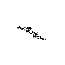 CCCOc1ccc(NS(=O)(=O)c2ccc3c(c2)CN(C(=O)Nc2ccc(C(C)(C)C)cc2)C3)c(F)c1